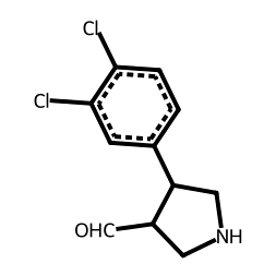 O=CC1CNCC1c1ccc(Cl)c(Cl)c1